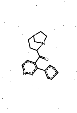 O=C(c1ccn[c]c1-c1ccccc1)C1CCC2CCN1C2